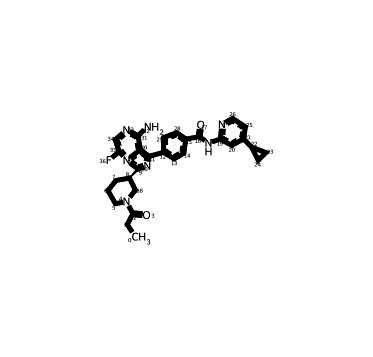 CCC(=O)N1CCC[C@@H](c2nc(-c3ccc(C(=O)Nc4cc(C5CC5)ccn4)cc3)c3c(N)ncc(F)n23)C1